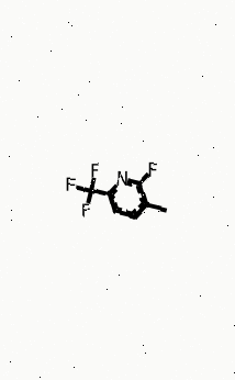 Cc1ccc(C(F)(F)F)nc1F